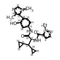 CCn1nccc1C(=O)N[C@H](C(=O)Nc1ccc(-c2c(C)ncn2C)c(O)c1)C(C1CC1)C1CC1